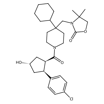 CC1(C)COC(=O)N1CC1(C2CCCCC2)CCN(C(=O)[C@@H]2C[C@@H](O)C[C@@H]2c2ccc(Cl)cc2)CC1